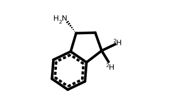 [2H]C1([2H])C[C@@H](N)c2ccccc21